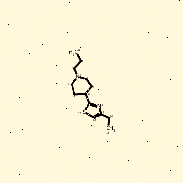 CCCN1CCC(c2nc(CC)cs2)CC1